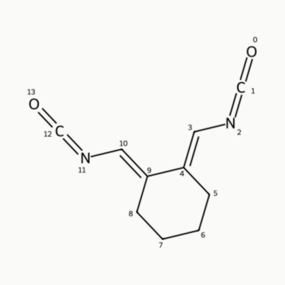 O=C=NC=C1CCCCC1=CN=C=O